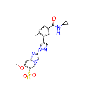 COc1cc2nc(-n3cc(-c4cc(C(=O)NC5CC5)ccc4C)cn3)cn2cc1[SH](=O)=O